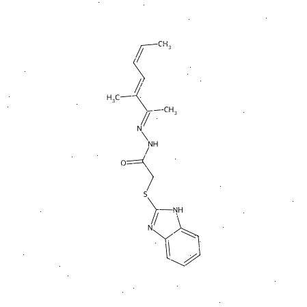 C\C=C/C=C(C)/C(C)=N/NC(=O)CSc1nc2ccccc2[nH]1